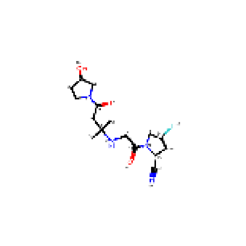 CC(C)(CC(=O)N1CCC(O)C1)NCC(=O)N1C[C@@H](F)C[C@H]1C#N